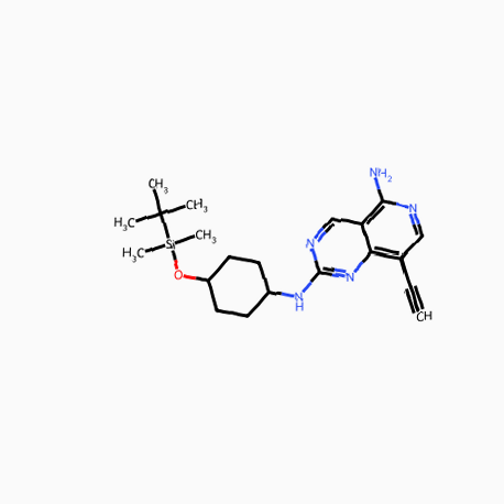 C#Cc1cnc(N)c2cnc(NC3CCC(O[Si](C)(C)C(C)(C)C)CC3)nc12